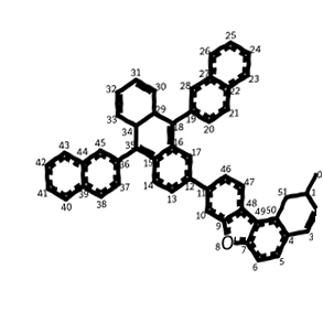 CC1C=Cc2ccc3oc4cc(-c5ccc6c(c5)=C(c5ccc7ccccc7c5)C5C=CC=CC5C=6c5ccc6ccccc6c5)ccc4c3c2C1